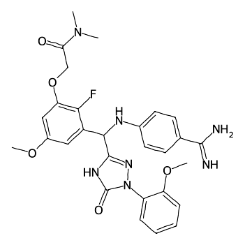 COc1cc(OCC(=O)N(C)C)c(F)c(C(Nc2ccc(C(=N)N)cc2)c2nn(-c3ccccc3OC)c(=O)[nH]2)c1